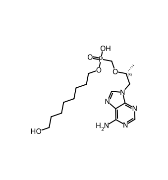 C[C@H](Cn1cnc2c(N)ncnc21)OCP(=O)(O)OCCCCCCCCO